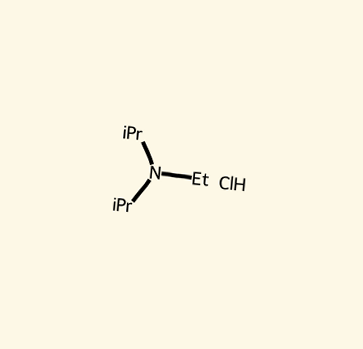 Cl.[CH2]CN(C(C)C)C(C)C